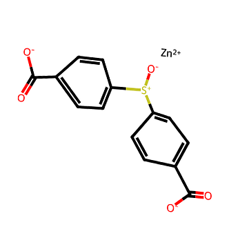 O=C([O-])c1ccc([S+]([O-])c2ccc(C(=O)[O-])cc2)cc1.[Zn+2]